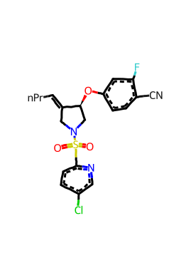 CCC/C=C1\CN(S(=O)(=O)c2ccc(Cl)cn2)C[C@@H]1Oc1ccc(C#N)c(F)c1